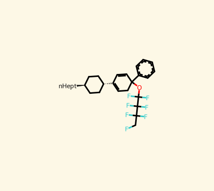 CCCCCCC[C@H]1CC[C@H](C2=CCC(OC(F)(F)C(F)(F)C(F)(F)CF)(c3ccccc3)C=C2)CC1